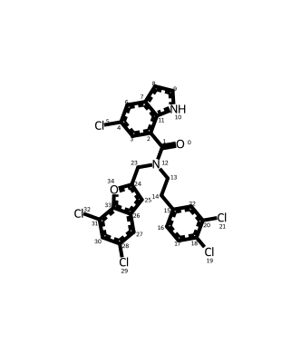 O=C(c1cc(Cl)cc2cc[nH]c12)N(CCc1ccc(Cl)c(Cl)c1)Cc1cc2cc(Cl)cc(Cl)c2o1